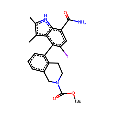 Cc1[nH]c2c(C(N)=O)cc(I)c(-c3cccc4c3CCN(C(=O)OC(C)(C)C)C4)c2c1C